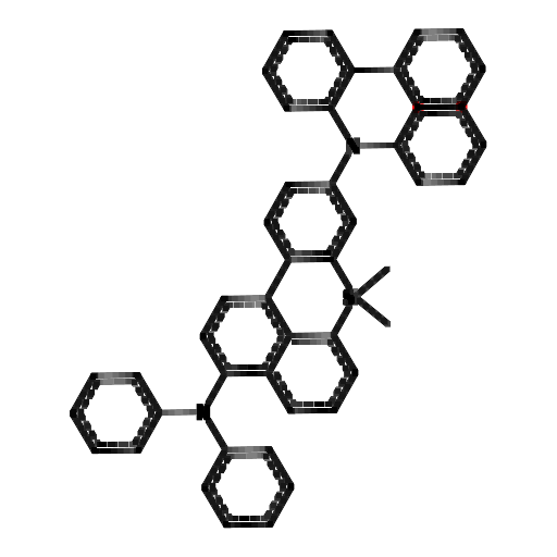 C[Si]1(C)c2cc(N(c3ccccc3)c3ccccc3-c3ccccc3)ccc2-c2ccc(N(c3ccccc3)c3ccccc3)c3cccc1c23